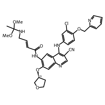 COC(C)(NCC=CC(=O)Nc1cc2c(Nc3ccc(OCc4ccccn4)c(Cl)c3)c(C#N)cnc2cc1O[C@H]1CCOC1)OC